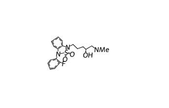 CNC[C@@H](O)CCCN1c2ccccc2N(c2ccccc2F)S1(=O)=O